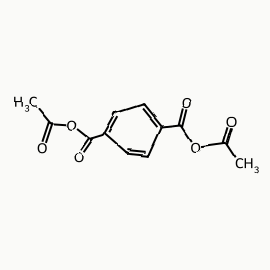 CC(=O)OC(=O)c1ccc(C(=O)OC(C)=O)cc1